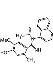 COc1cc(C(=N)N(C(C)=S)c2cccc3ccccc23)c(C)cc1O